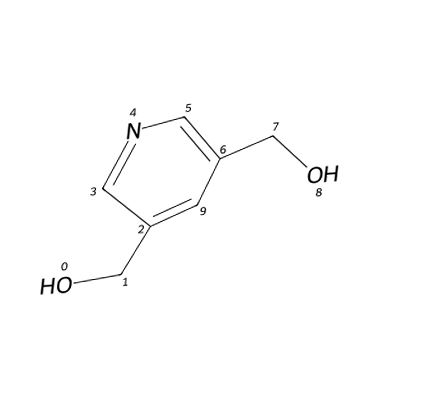 OCc1cncc(CO)c1